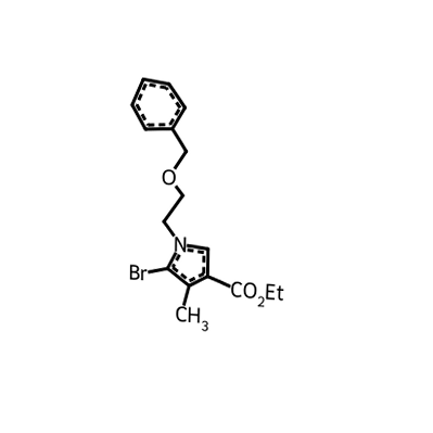 CCOC(=O)c1cn(CCOCc2ccccc2)c(Br)c1C